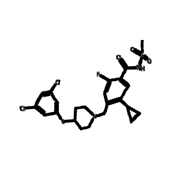 CS(=O)(=O)NC(=O)c1cc(C2CC2)c(CN2CCC(Sc3cc(Cl)cc(Cl)c3)CC2)cc1F